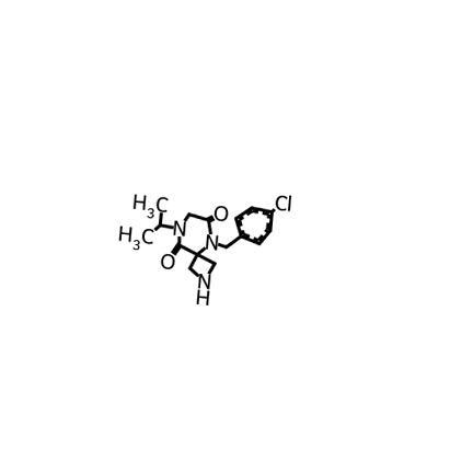 CC(C)N1CC(=O)N(Cc2ccc(Cl)cc2)C2(CNC2)C1=O